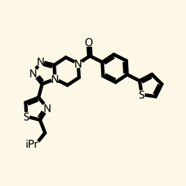 CC(C)Cc1nc(-c2nnc3n2CCN(C(=O)c2ccc(-c4cccs4)cc2)C3)cs1